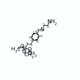 CO[Si](CCc1ccc(C[N]CCN)cc1)(OC)OC